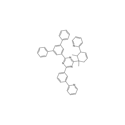 CC1C(c2ccccn2)C=CCC1(C)c1nc(-c2cc(-c3ccccc3)cc(-c3ccccc3)c2)nc(-c2cccc(-c3ccccn3)c2)n1